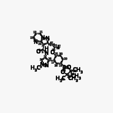 Cn1cc(NC(=O)c2cnn3cccnc23)c(-c2cc(B3OC(C)(C)C(C)(C)O3)ccc2OC(F)F)n1